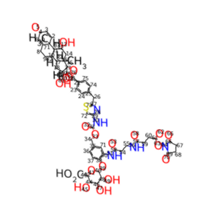 C[C@]12C=CC(=O)C=C1CC[C@@H]1[C@@H]2[C@@H](O)C[C@@]2(C)[C@H]1C[C@H]1O[C@H](c3ccc(Cc4nc(NC(=O)OCc5ccc(O[C@@H]6O[C@H](C(=O)O)[C@@H](O)[C@H](O)[C@H]6O)c(NC(=O)CCNC(=O)CCC(=O)ON6C(=O)CCC6=O)c5)cs4)cc3)O[C@]12C(=O)CO